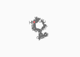 CCC1/C=C(\C)C(F)C(C)CC(OC)C2OC(O)(C(=O)C(=O)N3CCCCC3C(=O)OC(C(C)=CC3CCC(NC(C)=O)C(Oc4ccccc4)C3)C(C)CCC1=O)C(C)CC2OC